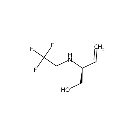 C=C[C@@H](CO)NCC(F)(F)F